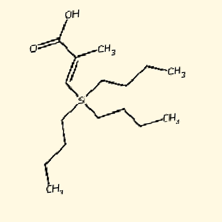 CCCC[Si](/C=C(\C)C(=O)O)(CCCC)CCCC